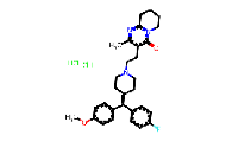 COc1ccc(C(=C2CCN(CCc3c(C)nc4n(c3=O)CCCC4)CC2)c2ccc(F)cc2)cc1.Cl.Cl